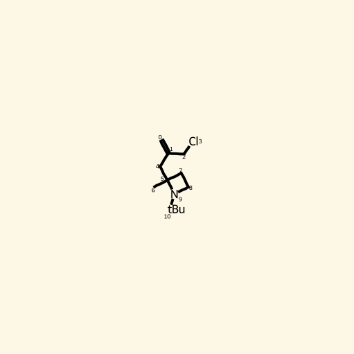 C=C(CCl)CC1(C)CCN1C(C)(C)C